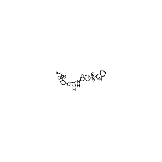 O=S(=O)(CC1CC1)c1cccc(OCC(O)CN[C@H]2COC3(CCN(S(=O)(=O)c4cnc5ccccc5c4)CC3)C2)c1